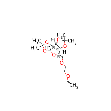 C=COCCOC[C@H]1OC2OC(C)(C)O[C@@H]2[C@H]2OC(C)(C)O[C@H]21